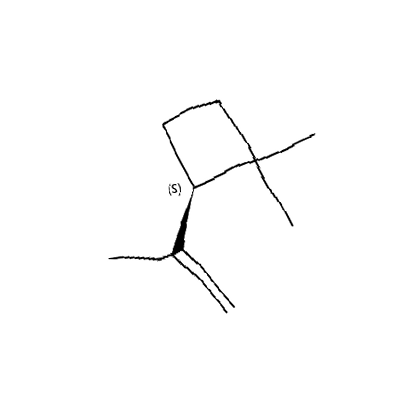 C=C(C)[C@H]1CCC1(C)C